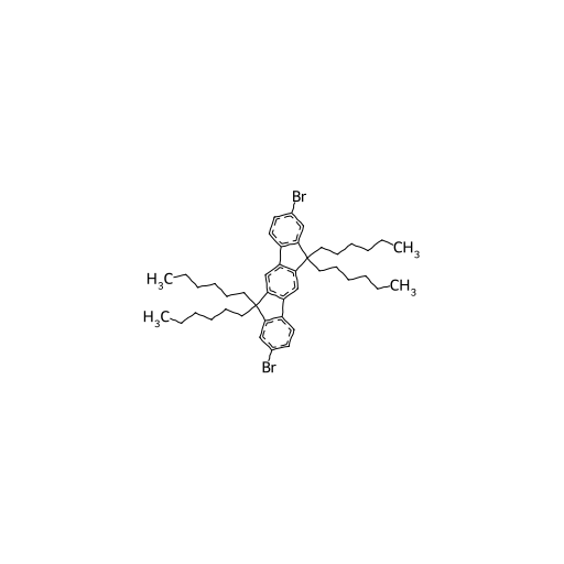 CCCCCCC1(CCCCCC)c2cc(Br)ccc2-c2cc3c(cc21)-c1ccc(Br)cc1C3(CCCCCC)CCCCCC